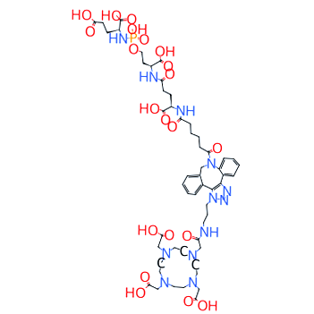 O=C(O)CC[C@H](NP(=O)(O)OCC[C@H](NC(=O)CC[C@@H](NC(=O)CCCCC(=O)N1Cc2ccccc2-c2c(nnn2CCCNC(=O)CN2CCN(CC(=O)O)CCN(CC(=O)O)CCN(CC(=O)O)CC2)-c2ccccc21)C(=O)O)C(=O)O)C(=O)O